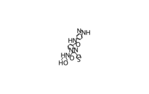 CC[C@@H](CO)NC(=O)c1c(-c2ccsc2)nc2c(C(=O)Nc3ccc4[nH]cnc4c3)cccn12